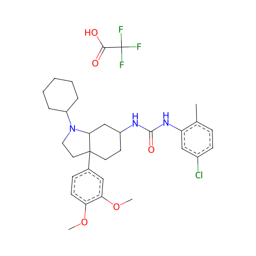 COc1ccc(C23CCC(NC(=O)Nc4cc(Cl)ccc4C)CC2N(C2CCCCC2)CC3)cc1OC.O=C(O)C(F)(F)F